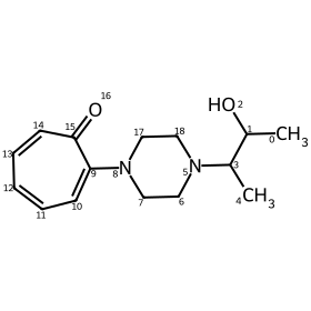 CC(O)C(C)N1CCN(c2cccccc2=O)CC1